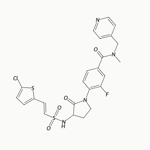 CN(Cc1ccncc1)C(=O)c1ccc(N2CCC(NS(=O)(=O)C=Cc3ccc(Cl)s3)C2=O)c(F)c1